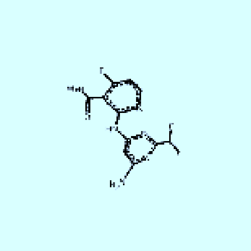 CNC(=O)c1c(F)ccnc1Nc1cc(N)nc(C(F)F)n1